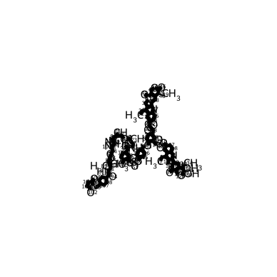 CCc1c2c(nc3c1=CC(OS(=O)(=O)Cc1cc(CS(=O)(=O)Oc4ccc5nc6c(c(CC)c5c4)Cn4c-6cc5c(c4=O)COC(=O)[C@H]5CC)ccc1OCc1ccc(OS(=O)(=O)Oc4cc(C(=O)NCC(C)(C)COCC(C)(C)Cn5cc(COOCC(C)(C)CNC(=O)C6CCC(CN7C(=O)C=CC7=O)CC6)nn5)ccc4O)cc1)CC=3)-c1cc3c(c(=O)n1C2)COC(O)[C@@]3(O)CC